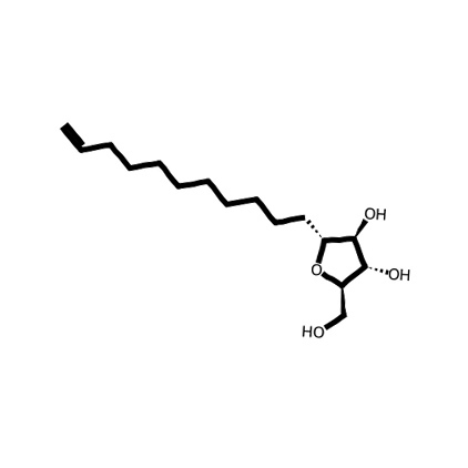 C=CCCCCCCCCC[C@H]1O[C@H](CO)[C@@H](O)[C@@H]1O